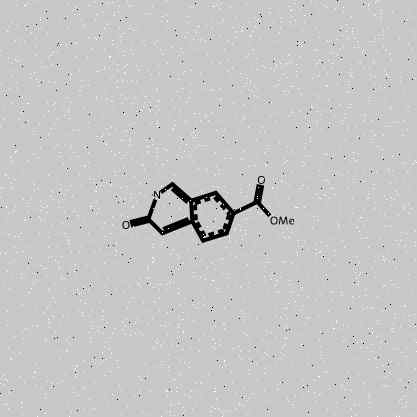 COC(=O)c1ccc2c(c1)=C[N]C(=O)C=2